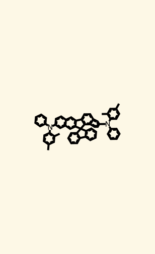 Cc1ccc(N(c2ccccc2)c2ccc3cc4c(cc3c2)C2(c3ccccc3-c3ccccc32)c2c-4ccc3cc(N(c4ccccc4)c4ccc(C)cc4C)ccc23)c(C)c1